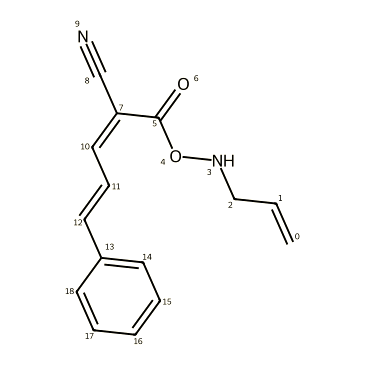 C=CCNOC(=O)C(C#N)=CC=Cc1ccccc1